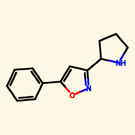 c1ccc(-c2cc(C3CCCN3)no2)cc1